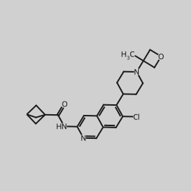 CC1(N2CCC(c3cc4cc(NC(=O)C56CC(C5)C6)ncc4cc3Cl)CC2)COC1